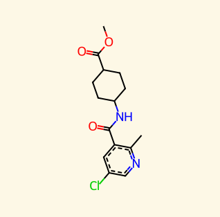 COC(=O)C1CCC(NC(=O)c2cc(Cl)cnc2C)CC1